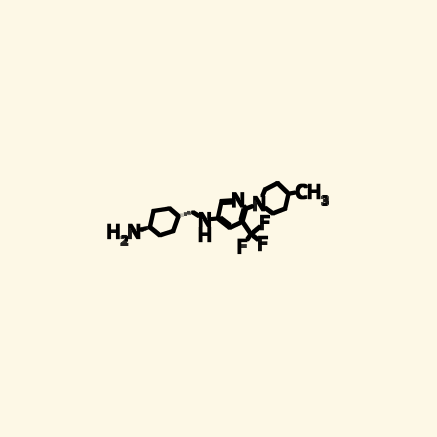 CC1CCN(c2ncc(NC[C@H]3CC[C@H](N)CC3)cc2C(F)(F)F)CC1